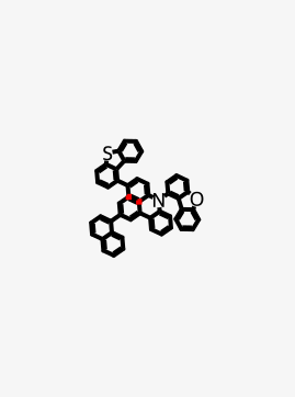 c1cc(-c2ccccc2N(c2ccc(-c3cccc4sc5ccccc5c34)cc2)c2cccc3oc4ccccc4c23)cc(-c2cccc3ccccc23)c1